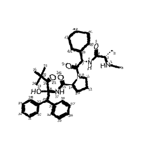 CN[C@@H](C)C(=O)N[C@H](C(=O)N1CCC[C@H]1C(=O)N[C@@](O)(C(=O)C(C)(C)C)C(c1ccccc1)c1ccccc1)C1CCCCC1